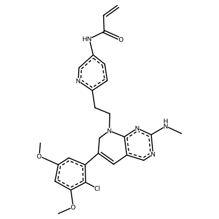 C=CC(=O)Nc1ccc(CCN2CC(c3cc(OC)cc(OC)c3Cl)=Cc3cnc(NC)nc32)nc1